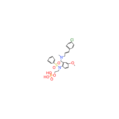 COc1ccc(N(CCOP(=O)(O)O)S(=O)(=O)c2ccccc2)c(CN(C)CC=Cc2ccc(Cl)cc2)c1